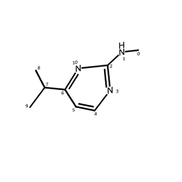 CNc1nccc(C(C)C)n1